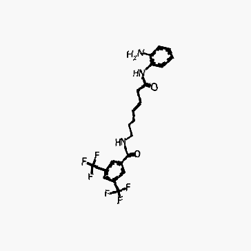 Nc1ccccc1NC(=O)CCCCCCNC(=O)c1cc(C(F)(F)F)cc(C(F)(F)F)c1